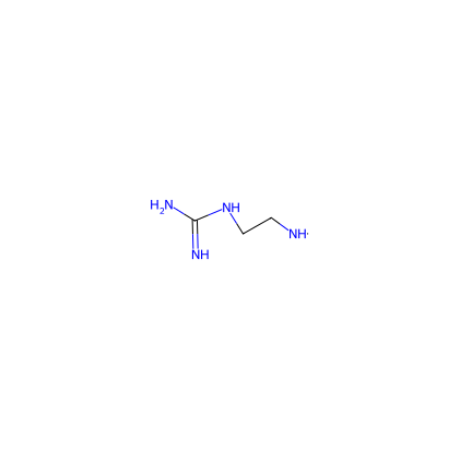 [NH]CCNC(=N)N